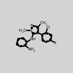 Cc1nn(C)c(Nc2ccccc2N)c1-c1ccc(F)cc1Cl